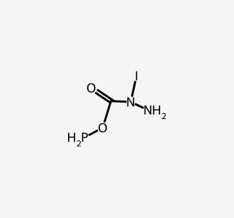 NN(I)C(=O)OP